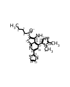 CCCC[S@+]([O-])c1sc2nc(-c3nccs3)cc(-c3cnc(C)n3C)c2c1N